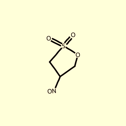 O=NC1COS(=O)(=O)C1